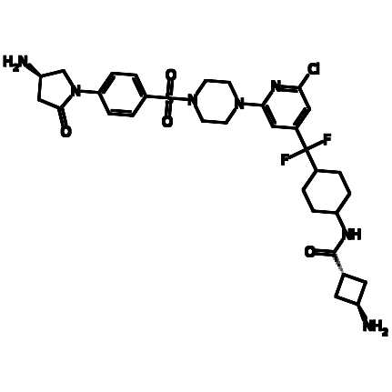 N[C@@H]1CC(=O)N(c2ccc(S(=O)(=O)N3CCN(c4cc(C(F)(F)C5CCC(NC(=O)[C@H]6C[C@H](N)C6)CC5)cc(Cl)n4)CC3)cc2)C1